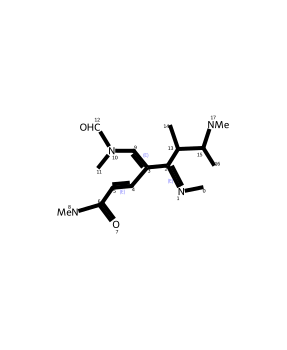 C/N=C(C(/C=C/C(=O)NC)=C/N(C)C=O)\C(C)C(C)NC